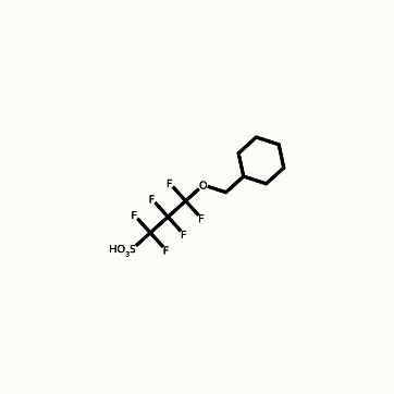 O=S(=O)(O)C(F)(F)C(F)(F)C(F)(F)OCC1CCCCC1